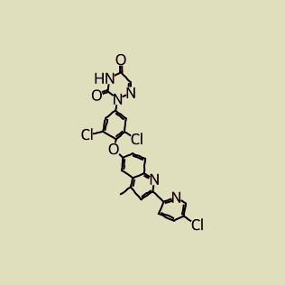 Cc1cc(-c2ccc(Cl)cn2)nc2ccc(Oc3c(Cl)cc(-n4ncc(=O)[nH]c4=O)cc3Cl)cc12